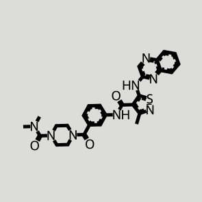 Cc1nsc(Nc2cnc3ccccc3n2)c1C(=O)Nc1cccc(C(=O)N2CCN(C(=O)N(C)C)CC2)c1